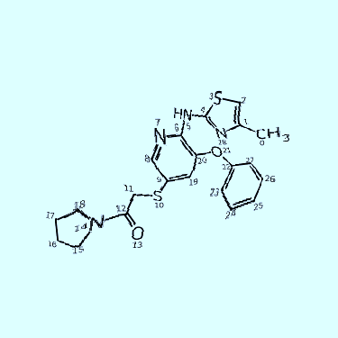 Cc1csc(Nc2ncc(SCC(=O)N3CCCC3)cc2Oc2ccccc2)n1